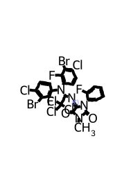 CN1C(=O)/C(=N\C(N(c2ccc(Cl)c(Br)c2F)c2ccc(Cl)c(Br)c2F)C(Cl)(Cl)Cl)N(c2ccccc2F)C1=O